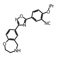 [C-]#[N+]c1cc(-c2nc(-c3ccc4c(c3)CNCCO4)no2)ccc1OC(C)C